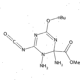 CCCCOC1=NC(N)(C(=O)OC)N(N)C(N=C=O)=N1